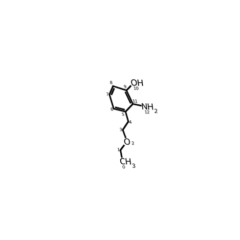 CCOCCc1cccc(O)c1N